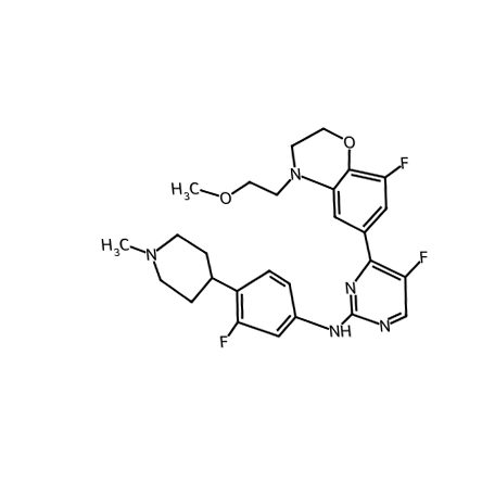 COCCN1CCOc2c(F)cc(-c3nc(Nc4ccc(C5CCN(C)CC5)c(F)c4)ncc3F)cc21